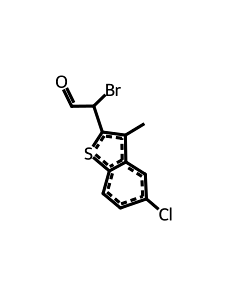 Cc1c(C(Br)C=O)sc2ccc(Cl)cc12